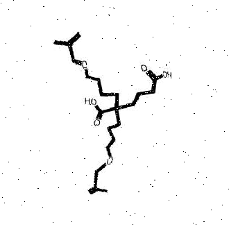 C=C(C)COCCCCC(CCCCOCC(=C)C)(CCCC(=O)O)C(=O)O